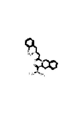 CN(C)C(=O)[C@@H]1Cc2ccccc2CN1C(=O)C[C@H](N)Cc1ccccc1F